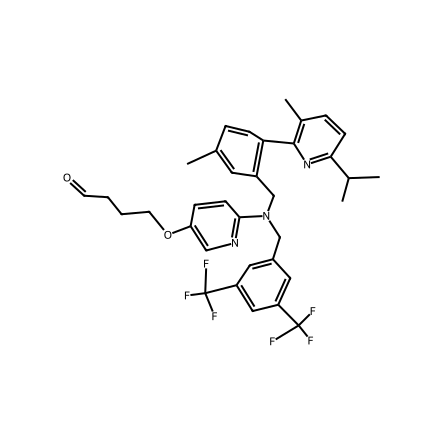 Cc1ccc(-c2nc(C(C)C)ccc2C)c(CN(Cc2cc(C(F)(F)F)cc(C(F)(F)F)c2)c2ccc(OCCCC=O)cn2)c1